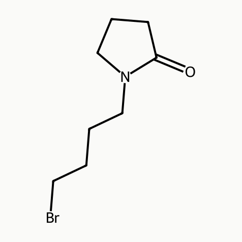 O=C1CCCN1CCCCBr